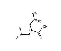 CC(=O)C[C@@H](OC(C)=O)C(=O)O